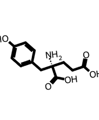 N[C@@](CCC(=O)O)(Cc1ccc(O)cc1)C(=O)O